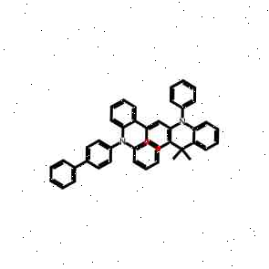 CC1(C)c2ccccc2N(c2ccccc2)c2cc(-c3ccccc3N(c3ccccc3)c3ccc(-c4ccccc4)cc3)ccc21